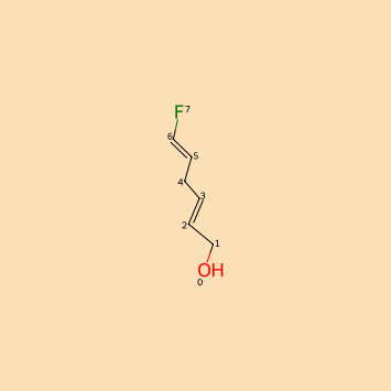 OCC=CCC=CF